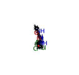 Cc1ccc(NC(=O)CSc2nnc(C3=NNC(c4cc(Cl)cc(Cl)c4)(C(F)(F)F)C3)o2)cc1